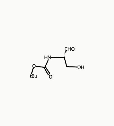 CC(C)(C)OC(=O)N[C@H]([C]=O)CO